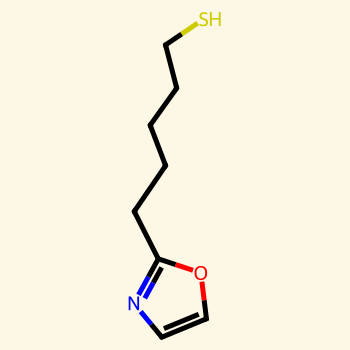 SCCCCCc1ncco1